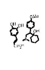 COc1ccc(C(CN(C)C)C2(O)CCCCC2)cc1.O=C(O)C=Cc1ccc(O)c(O)c1